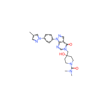 Cc1cnn(-c2ccc(-n3ncc4c(=O)n(CC5(O)CCN(C(=O)N(C)C)CC5)cnc43)cc2)c1